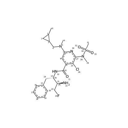 CC1CC1CN(C)c1cc(C(=O)N[C@@H](Cc2ccccc2)[C@@H](N)CF)c(Cl)c(N(C)S(C)(=O)=O)n1